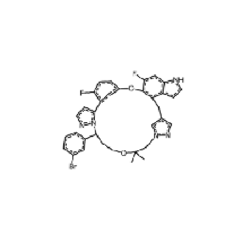 CC1(C)Cn2cc(cn2)Cc2c(c(F)cc3[nH]ccc23)Oc2ccc(F)c(c2)-c2ccnn2C(c2cccc(Br)c2)CCO1